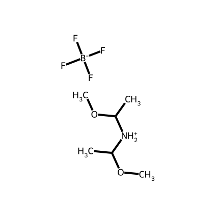 COC(C)[NH2+]C(C)OC.F[B-](F)(F)F